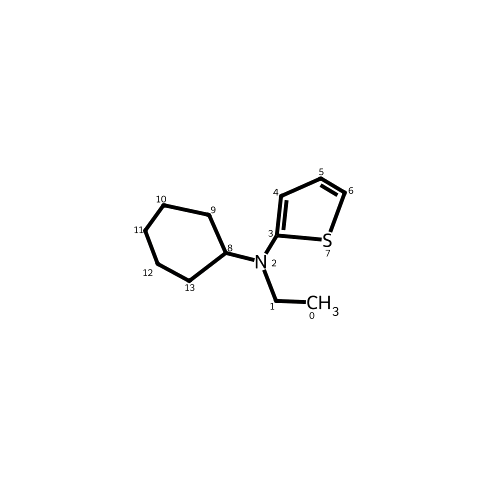 CCN(c1cccs1)C1CCCCC1